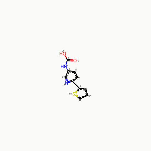 O=C(O)Nc1ccc(-c2cccs2)nc1